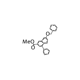 COC(=O)c1cc(-c2ccccc2)c2ccc(OCc3ccccc3)cc2c1